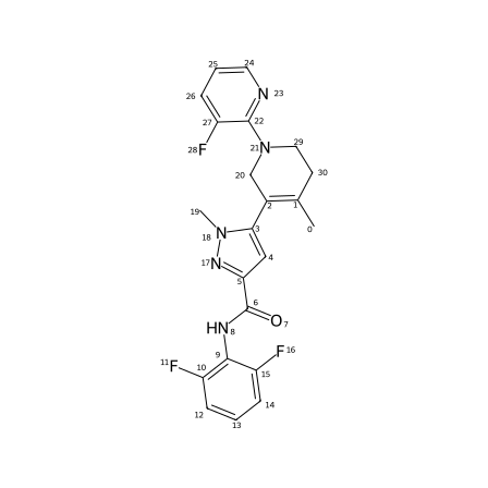 CC1=C(c2cc(C(=O)Nc3c(F)cccc3F)nn2C)CN(c2ncccc2F)CC1